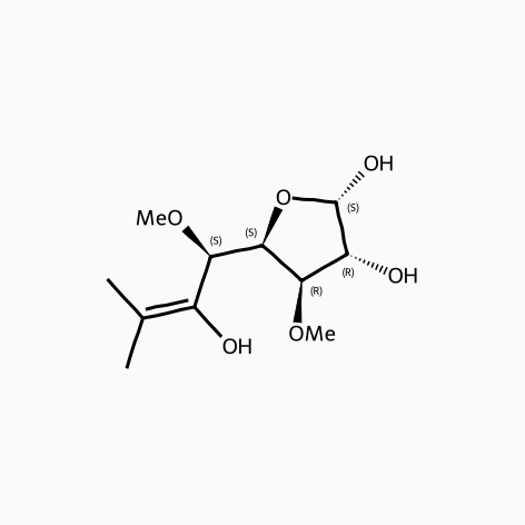 CO[C@@H]1[C@@H](O)[C@@H](O)O[C@@H]1[C@H](OC)C(O)=C(C)C